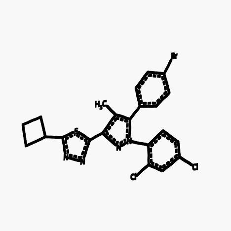 Cc1c(-c2nnc(C3CCC3)s2)nn(-c2ccc(Cl)cc2Cl)c1-c1ccc(Br)cc1